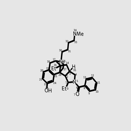 CCC1C2[C@@H](CN1C(=O)c1ccccc1)CC1(CC)C3Cc4ccc(O)cc4C21CCN3CCCCNC